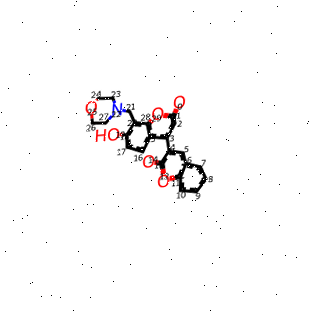 O=c1cc(-c2cc3ccccc3oc2=O)c2ccc(O)c(CN3CCOCC3)c2o1